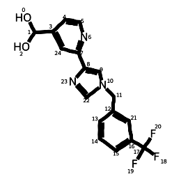 OC(O)c1ccnc(-c2cn(Cc3cccc(C(F)(F)F)c3)cn2)c1